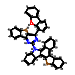 c1ccc2c(c1)oc1c(-c3nc(-n4c5ccccc5c5c6sc7ccccc7c6c6ccccc6c54)nc4c3sc3ccccc34)cccc12